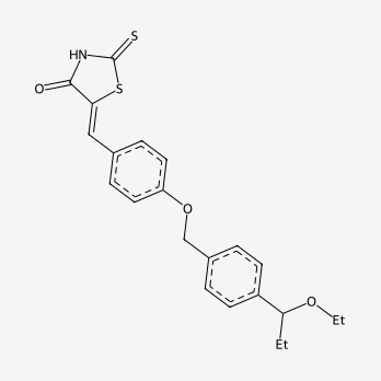 CCOC(CC)c1ccc(COc2ccc(/C=C3\SC(=S)NC3=O)cc2)cc1